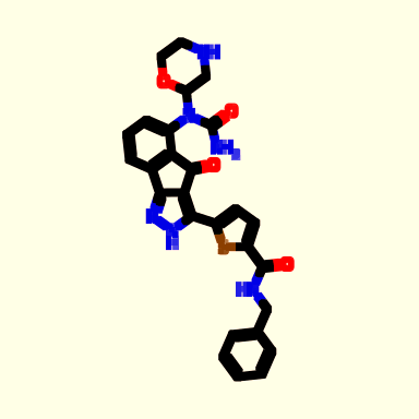 NC(=O)N(c1cccc2c1C(=O)c1c-2n[nH]c1-c1ccc(C(=O)NCc2ccccc2)s1)C1CNCCO1